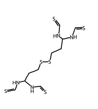 S=CNC(CCSSCCC(NC=S)NC=S)NC=S